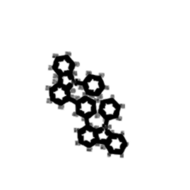 c1ccc(-n2c3ccccc3c3cccc(-c4cccc(-c5cccc6c7ccccc7n(-c7ccccc7)c56)c4)c32)cc1